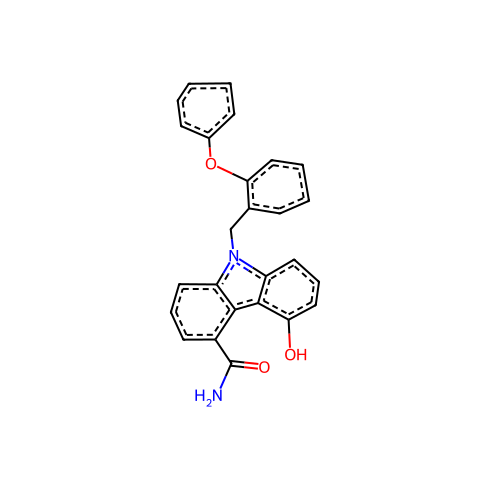 NC(=O)c1cccc2c1c1c(O)cccc1n2Cc1ccccc1Oc1ccccc1